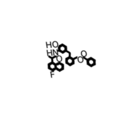 CC(C(=O)Nc1cc(Cc2ccccc2COC(=O)c2ccccc2)ccc1O)c1ccc(F)c2ccccc12